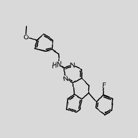 COc1ccc(CNc2ncc3c(n2)-c2ccccc2C(c2ccccc2F)C3)cc1